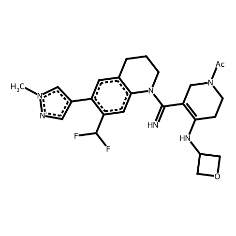 CC(=O)N1CCC(NC2COC2)=C(C(=N)N2CCCc3cc(-c4cnn(C)c4)c(C(F)F)cc32)C1